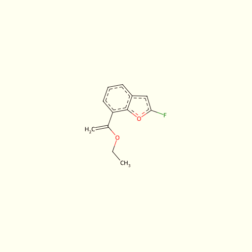 C=C(OCC)c1cccc2cc(F)oc12